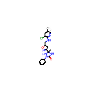 CC1(C2=NOC(CNc3ncc(C(F)(F)F)cc3Cl)C2)NC(=O)N(c2ccccc2)N1